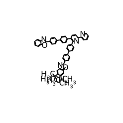 CC(C)(C)c1cc2nc(-c3ccc(-c4ccc(-c5nc(-c6ccccn6)ccc5-c5ccc(-c6ccc(-c7nc8ccccc8o7)cc6)cc5)cc4)cc3)oc2cc1C(C)(C)C